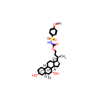 CC[C@H]1[C@@H](O)[C@@H]2[C@H](CC[C@]3(C)[C@@H]([C@H](C)CCOC(=O)NS(=O)(=O)c4ccc(OC(C)C)cc4)CC[C@@H]23)[C@@]2(C)CC[C@@H](O)C[C@@H]12